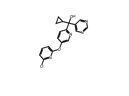 OC(c1cncnc1)(c1ccc(Oc2cccc(Cl)n2)cn1)C1CC1